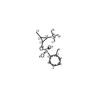 Cc1ccccc1S(=O)(=O)OC1C(C)C1[Si](C)(C)C